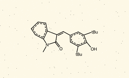 CN1C(=O)C(=Cc2cc(C(C)(C)C)c(O)c(C(C)(C)C)c2)c2ccccc21